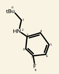 CC(C)(C)CNc1cccc(F)c1